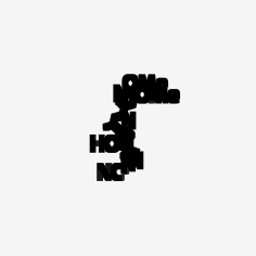 COc1cc(-c2cc(C)c3c(n2)CN(c2cnn(CC#N)c2)C3O)cnc1OC